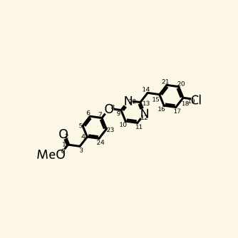 COC(=O)Cc1ccc(Oc2ccnc(Cc3ccc(Cl)cc3)n2)cc1